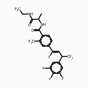 CC(NC(=O)c1ccc(/C(F)=C/C(c2cc(F)c(F)c(F)c2)C(F)(F)F)cc1C(F)(F)F)C(=O)NCC(F)(F)F